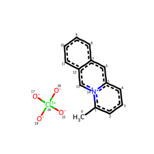 Cc1cccc2cc3ccccc3c[n+]12.[O-][Cl+3]([O-])([O-])[O-]